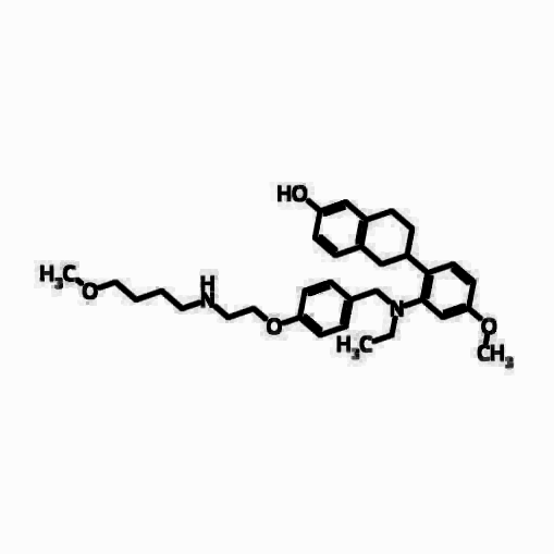 CCN(Cc1ccc(OCCNCCCCOC)cc1)c1cc(OC)ccc1C1CCc2cc(O)ccc2C1